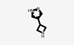 c1n[nH]cc1C1CNC1